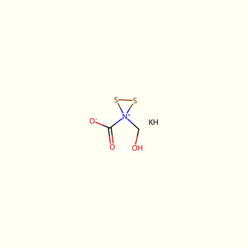 O=C([O-])[N+]1(CO)SS1.[KH]